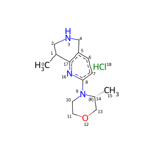 CC1CNCc2ccc(N3CCOC[C@H]3C)nc21.Cl